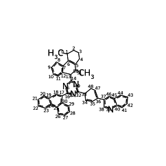 CC1CCCC2=C1c1ccccc1C(c1nc(-c3cc4ccccc4c4ccccc34)nc(C3C=CC(c4cnc5ccccc5c4)=CC3)n1)C2C